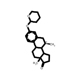 C[C@@H]1Cc2cc(OC3CCCCO3)ccc2C2CCC3(C)C(=O)CCC3C21